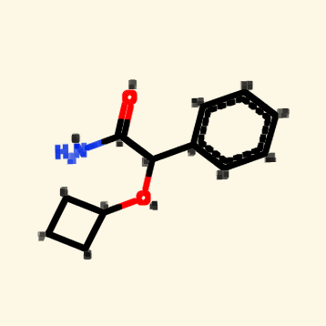 NC(=O)C(OC1CCC1)c1ccccc1